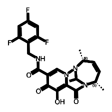 CC1N2C(=O)c3c(O)c(=O)c(C(=O)NCc4c(F)cc(F)cc4F)cn3N1[C@H](C)C=C[C@@H]2C